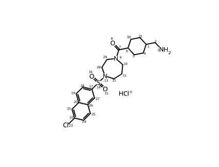 Cl.NCC1CCC(C(=O)N2CCCN(S(=O)(=O)c3ccc4cc(Cl)ccc4c3)CC2)CC1